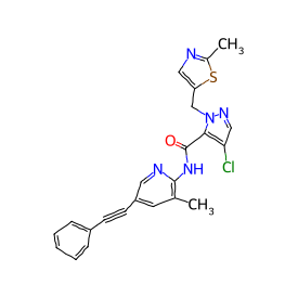 Cc1ncc(Cn2ncc(Cl)c2C(=O)Nc2ncc(C#Cc3ccccc3)cc2C)s1